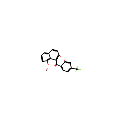 COc1cccc2ccc3oc4cc(C(F)(F)F)ccc4c(=O)c3c12